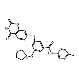 C=C1NC(=O)c2ccc(Oc3cc(O[C@H]4CCOC4)cc(C(=O)Nc4cnc(C)cn4)c3)cc2O1